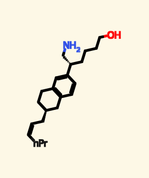 CCC/C=C\C[C@H]1CCc2cc([C@H](CN)CCCCO)ccc2C1